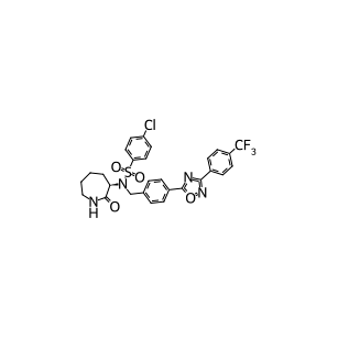 O=C1NCCCC[C@H]1N(Cc1ccc(-c2nc(-c3ccc(C(F)(F)F)cc3)no2)cc1)S(=O)(=O)c1ccc(Cl)cc1